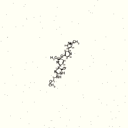 COCCNc1ncc(-c2ccc(Oc3ccnc(-c4cnn(C)c4)c3)c(C)n2)c(=O)[nH]1